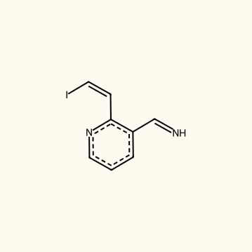 N=Cc1cccnc1/C=C\I